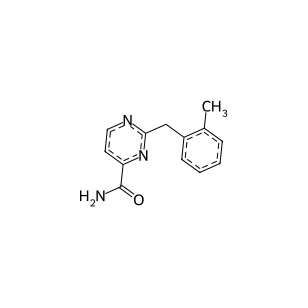 Cc1ccccc1Cc1nccc(C(N)=O)n1